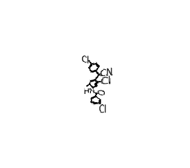 Cc1cc(C(C#N)c2ccc(Cl)cc2)c(Cl)cc1NC(=O)c1cccc(Cl)c1